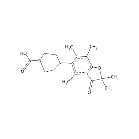 Cc1c(C)c(N2CCN(C(=O)O)CC2)c(C)c2c1OC(C)(C)C2=O